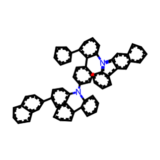 c1ccc(-c2ccccc2N(c2ccc(-c3ccc4ccccc4c3)cc2)c2ccc(-c3c(-c4ccccc4)cccc3-n3c4ccccc4c4cc5ccccc5cc43)cc2)cc1